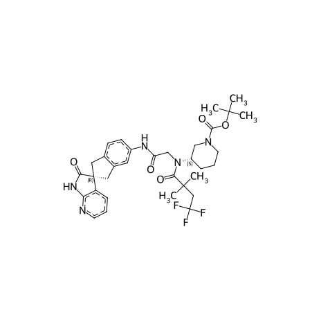 CC(C)(C)OC(=O)N1CCC[C@H](N(CC(=O)Nc2ccc3c(c2)C[C@@]2(C3)C(=O)Nc3ncccc32)C(=O)C(C)(C)CC(F)(F)F)C1